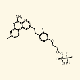 CCC(F)(F)P(=O)(O)OOCCOc1ccc(CCc2cnc3c(N)nc4cc(C)ccc4c3c2)c(C)c1